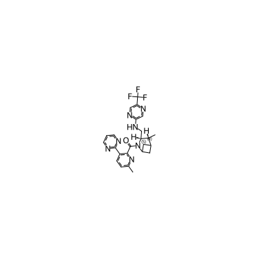 Cc1ccc(-c2ncccn2)c(C(=O)N2C3CC(C3)[C@@H](C)[C@H]2CNc2cnc(C(F)(F)F)cn2)n1